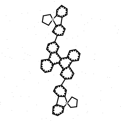 c1ccc2c(c1)-c1ccc(-c3ccc4c5ccccc5c5c6cc(-c7ccc8c(c7)[Si]7(CCCC7)c7ccccc7-8)ccc6c6ccccc6c5c4c3)cc1[Si]21CCCC1